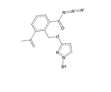 C=C(C)c1cccc(C(=O)N=[N+]=[N-])c1COc1ccn(S)n1